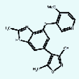 COc1ccncc1Oc1cc(-c2c(C)noc2C)cc2[nH]c(C)nc12